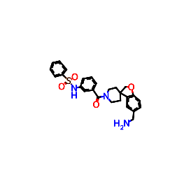 NCc1ccc2c(c1)C1(CCN(C(=O)c3cccc(NS(=O)(=O)c4ccccc4)c3)CC1)CO2